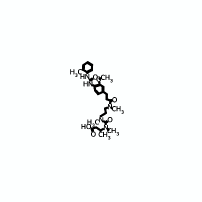 COc1cc(CCC(=O)N(C)CCCN(C)C(=O)N(C)C(C)CC(=O)O)ccc1NC(=O)Nc1ccccc1C